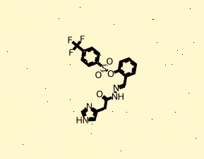 O=C(Cc1c[nH]cn1)NN=Cc1ccccc1OS(=O)(=O)c1ccc(C(F)(F)F)cc1